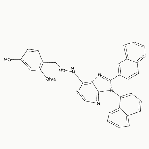 COc1cc(O)ccc1CNNc1ncnc2c1nc(-c1ccc3ccccc3c1)n2-c1cccc2ccccc12